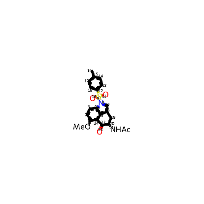 COc1ccc2c3c(cn2S(=O)(=O)c2ccc(C)cc2)CC(NC(C)=O)C(=O)c13